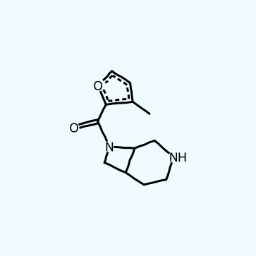 Cc1ccoc1C(=O)N1CC2CCNCC21